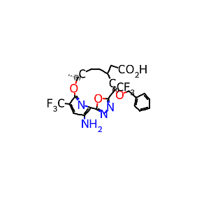 C[C@@H]1CCCC(CC(=O)O)C[C@](OCc2ccccc2)(C(F)(F)F)c2nnc(o2)-c2nc(c(C(F)(F)F)cc2N)O1